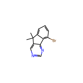 CC1(C)c2cncnc2-c2c(Br)cccc21